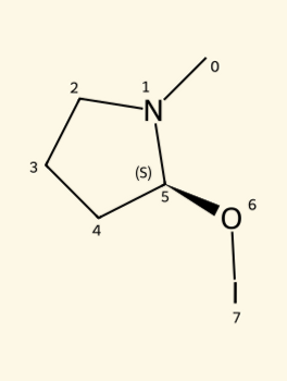 CN1CCC[C@@H]1OI